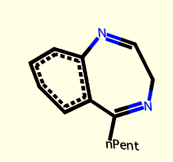 CCCCCC1=NCC=Nc2ccccc21